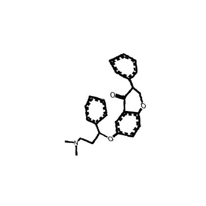 CN(C)CCC(Oc1ccc2c(c1)C(=O)C(c1ccccc1)CO2)c1ccccc1